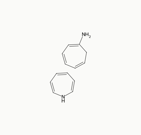 C1=CC=CNC=C1.NC1=CC=CC=CC1